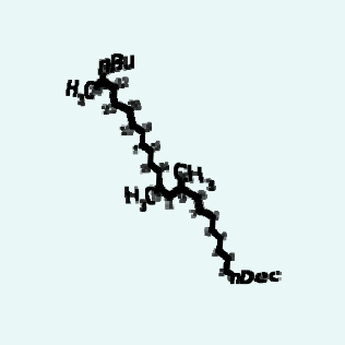 CCCCCCCCCCCCCCCCCCC(C)CC(C)CCCCCCCCCC(C)CCCC